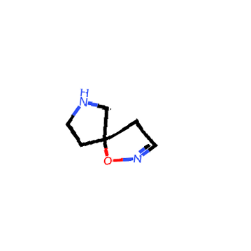 [CH]1NCCC12CC=NO2